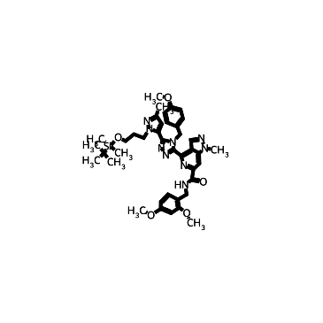 COc1ccc(Cn2c(-c3nc(C(=O)NCc4ccc(OC)cc4OC)cc4c3cnn4C)nnc2-c2cc(C)nn2CCCO[Si](C)(C)C(C)(C)C)cc1